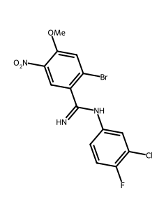 COc1cc(Br)c(C(=N)Nc2ccc(F)c(Cl)c2)cc1[N+](=O)[O-]